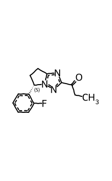 CCC(=O)c1nc2n(n1)[C@H](c1ccccc1F)CC2